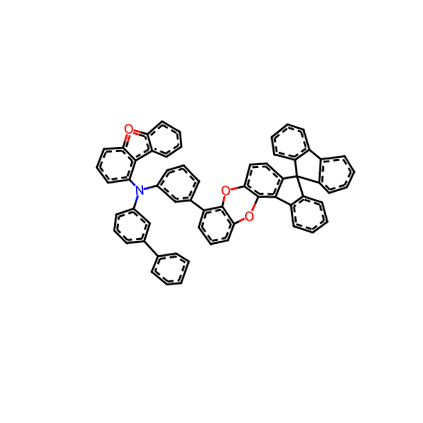 c1ccc(-c2cccc(N(c3cccc(-c4cccc5c4Oc4ccc6c(c4O5)-c4ccccc4C64c5ccccc5-c5ccccc54)c3)c3cccc4oc5ccccc5c34)c2)cc1